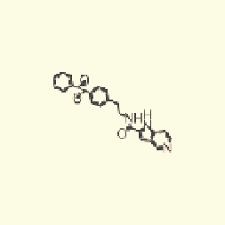 O=C(NCCc1ccc(S(=O)(=O)c2ccccc2)cc1)c1cc2cnccc2[nH]1